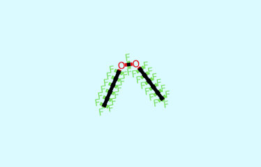 FC(F)(OC(F)(F)C(F)(F)C(F)(F)C(F)(F)C(F)(F)C(F)(F)F)OC(F)(F)C(F)(F)C(F)(F)C(F)(F)C(F)(F)C(F)(F)F